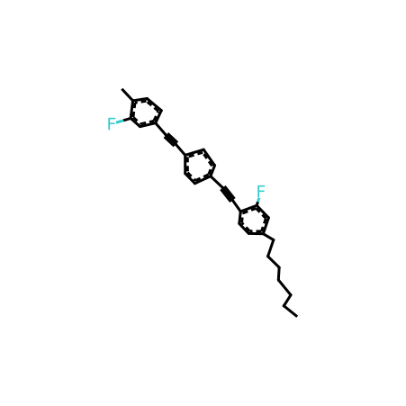 CCCCCCCc1ccc(C#Cc2ccc(C#Cc3ccc(C)c(F)c3)cc2)c(F)c1